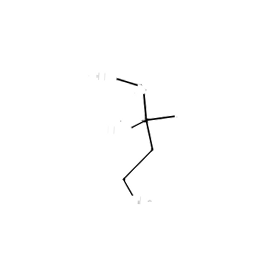 CCCCCCCC(C)(C)N[C]=O